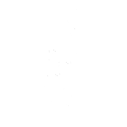 Nc1cc(C(=O)CC2CCCC2)ccc1NC(=O)N1CCc2ccccc2C1